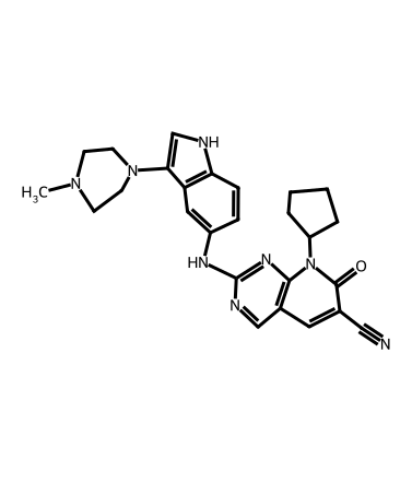 CN1CCN(c2c[nH]c3ccc(Nc4ncc5cc(C#N)c(=O)n(C6CCCC6)c5n4)cc23)CC1